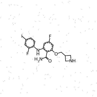 NC(=O)c1c(Nc2ccc(I)cc2F)cc(F)cc1OCC1CNC1